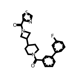 O=C(c1cccc(-c2cccc(F)c2)c1)N1CCC(C2CN(C(=O)c3cscn3)C2)CC1